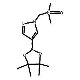 CC1(C)OB(c2cnn(CP(C)(C)=O)c2)OC1(C)C